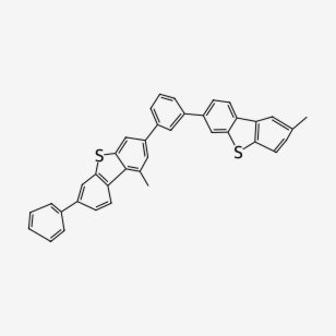 Cc1ccc2sc3cc(-c4cccc(-c5cc(C)c6c(c5)sc5cc(-c7ccccc7)ccc56)c4)ccc3c2c1